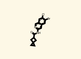 O=C(Nc1cc2cc(Br)c(Cl)cc2cn1)C1CC2(CC2)C1